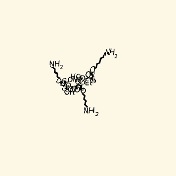 CCO[C@@H]1C[C@H](OCCCCCCN)OC1COP(=O)(O)OC1C[C@H](OCCCCCCN)O[C@@H]1COP(=O)(O)OC1C[C@H](OCCCCCCN)O[C@@H]1CO